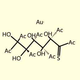 CC(=O)C(=S)[C@@](O)(C(C)=O)[C@](O)(C(C)=O)[C@@](O)(C(C)=O)[C@@](O)(C(C)=O)C(O)(C(C)=O)C(C)=O.[Au]